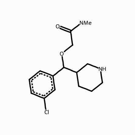 CNC(=O)COC(c1cccc(Cl)c1)C1CCCNC1